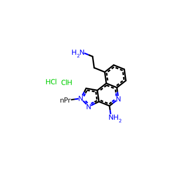 CCCn1cc2c(n1)c(N)nc1cccc(CCN)c12.Cl.Cl